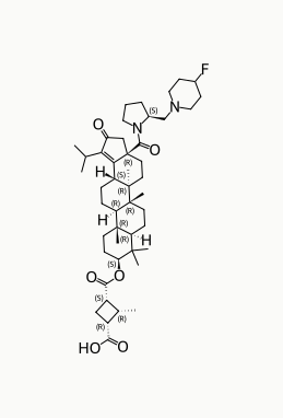 CC(C)C1=C2[C@H]3CC[C@@H]4[C@@]5(C)CC[C@H](OC(=O)[C@H]6C[C@@H](C(=O)O)[C@H]6C)C(C)(C)[C@@H]5CC[C@@]4(C)[C@]3(C)CC[C@@]2(C(=O)N2CCC[C@H]2CN2CCC(F)CC2)CC1=O